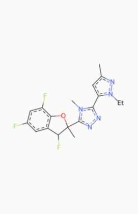 CCn1nc(C)cc1-c1nnc(C2(C)Oc3c(F)cc(F)cc3C2F)n1C